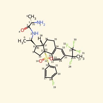 CC(NC(=O)[C@H](C)N)[C@@H]1CC[C@@]2(S(=O)(=O)c3ccc(F)cc3)c3ccc(C(C)(F)C(F)(F)F)cc3CC[C@@H]12